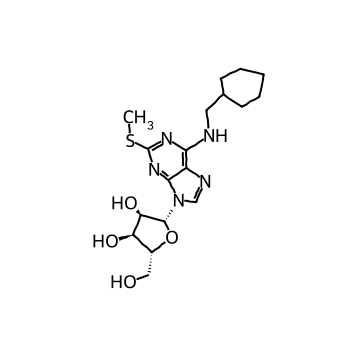 CSc1nc(NCC2CCCCC2)c2ncn([C@@H]3O[C@H](CO)[C@@H](O)[C@H]3O)c2n1